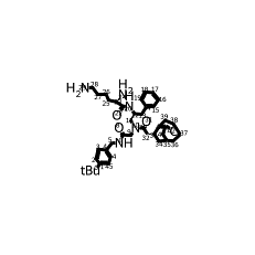 CC(C)(C)c1ccc(CNC(=O)CN(C[C@H](Cc2ccccc2)NC(=O)[C@@H](N)CCCCN)C(=O)C[C@H]2CC3CC4CCC2C(C4)C3)cc1